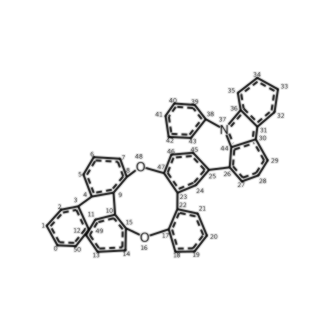 c1ccc(-c2cccc3c2-c2ccccc2Oc2ccccc2-c2cc(-c4cccc5c6ccccc6n(-c6ccccc6)c45)ccc2O3)cc1